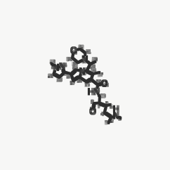 CN/C(C)=C\C(C)=C(/C=O)CNC(=O)c1cc2cc(-c3ccn(C)n3)cn2c(C(C)N2CCOCC2)c1C